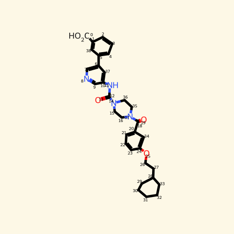 O=C(O)c1cccc(-c2cncc(NC(=O)N3CCN(C(=O)c4cccc(OCCC5CCCCC5)c4)CC3)c2)c1